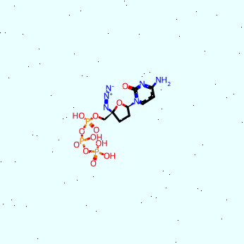 [N-]=[N+]=N[C@@]1(COP(=O)(O)OP(=O)(O)OP(=O)(O)O)CC[C@H](n2ccc(N)nc2=O)O1